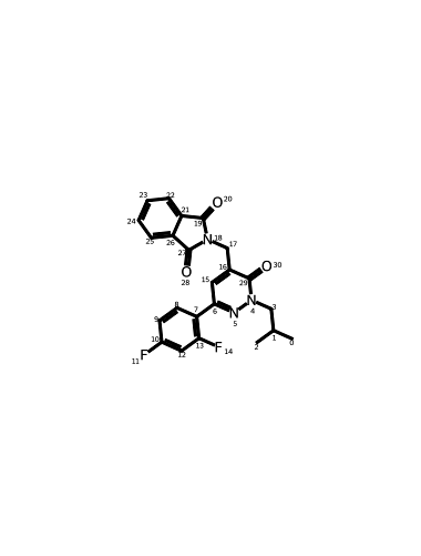 CC(C)Cn1nc(-c2ccc(F)cc2F)cc(CN2C(=O)c3ccccc3C2=O)c1=O